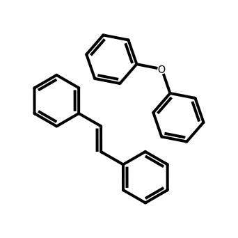 C(=Cc1ccccc1)c1ccccc1.c1ccc(Oc2ccccc2)cc1